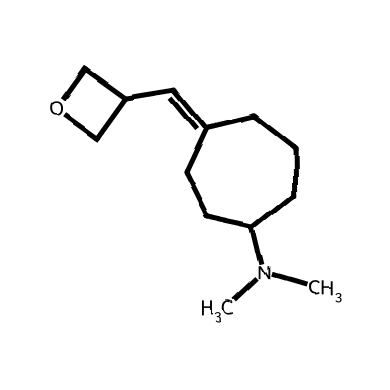 CN(C)C1CCC/C(=C/C2COC2)CC1